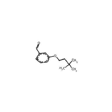 CC(C)(C)CCOc1cccc(C=O)c1